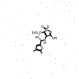 CCOC(=O)C1=C(N[C@@H](c2cc(C)c(C)o2)C(C)C)C(O)=NS1(=O)=O